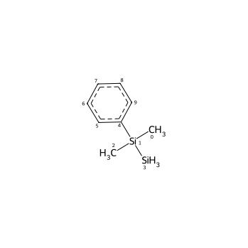 C[Si](C)([SiH3])c1ccccc1